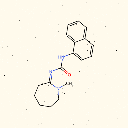 CN1CCCCC/C1=N/C(=O)Nc1cccc2ccccc12